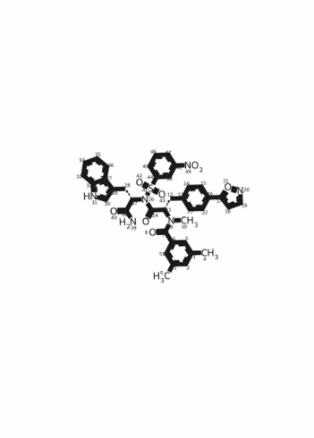 Cc1cc(C)cc(C(=O)N(C)[C@@H](Cc2ccc(-c3ccno3)cc2)C(=O)N([C@@H](Cc2c[nH]c3ccccc23)C(N)=O)S(=O)(=O)c2cccc([N+](=O)[O-])c2)c1